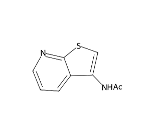 CC(=O)Nc1csc2ncccc12